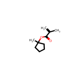 C=C(C)C(=O)OC1(C)CCCC1